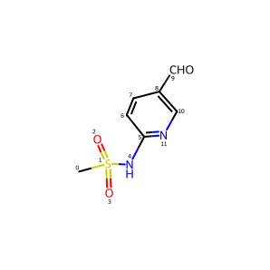 CS(=O)(=O)Nc1ccc(C=O)cn1